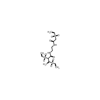 C=CS(=O)(=O)CC(=O)NCCNC(=O)C(C(=C)S(=O)(=O)C=C)S(=O)(=O)C=C